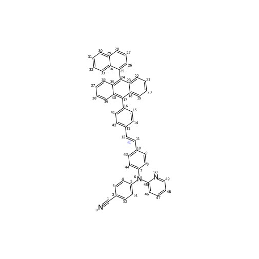 N#Cc1ccc(N(c2ccc(/C=C/c3ccc(-c4c5ccccc5c(-c5cccc6ccccc56)c5ccccc45)cc3)cc2)c2ccccn2)cc1